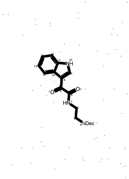 CCCCCCCCCCCCNC(=O)C(=O)c1c[nH]c2ccccc12